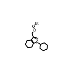 CCOOCc1nn(C2CCCCC2)c2c1CCCC2